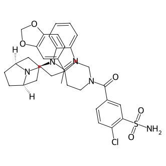 Cc1nc2ccccc2n1[C@H]1C[C@H]2CC[C@@H](C1)N2CCC1(c2ccc3c(c2)OCO3)CCN(C(=O)c2ccc(Cl)c(S(N)(=O)=O)c2)CC1